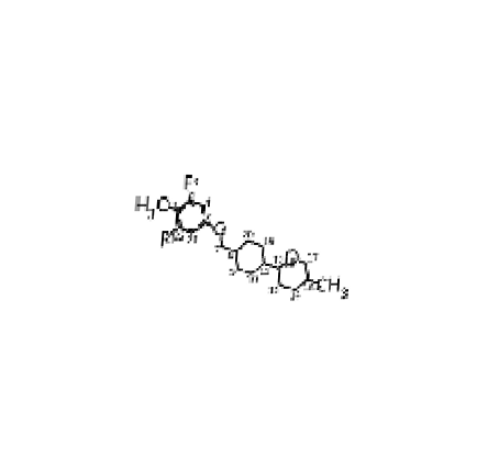 Cc1c(F)cc(OCC2CCC(C3CCC(C)CO3)CC2)cc1F